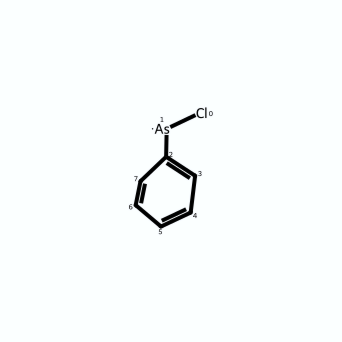 Cl[As]c1ccccc1